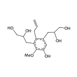 C=CCc1c(CC(O)CO)cc(O)c(OC)c1CC(O)CO